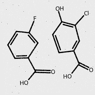 O=C(O)c1ccc(O)c(Cl)c1.O=C(O)c1cccc(F)c1